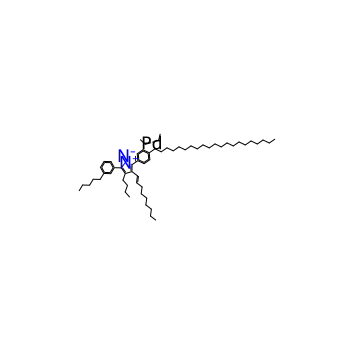 CCCCCCCC=CC1=C(c2ccc(CCCCCCCCCCCCCCCCCCCCC)cc2)[N+](=[N-])C(c2cccc(CCCCC)c2)=C1CCCC.C[CH2][Pd][CH2]C